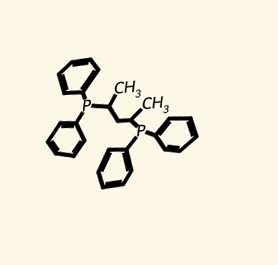 CC(CC(C)P(c1ccccc1)c1ccccc1)P(c1ccccc1)c1ccccc1